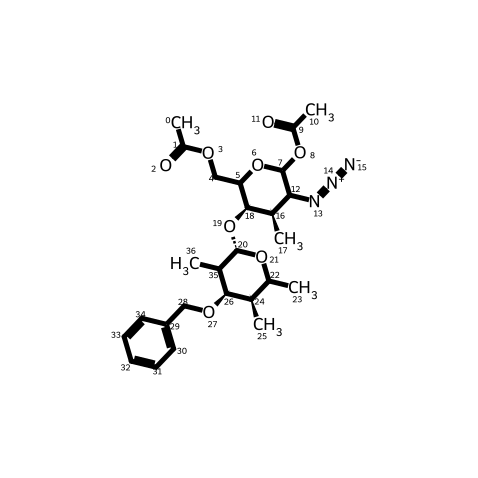 CC(=O)OCC1OC(OC(C)=O)C(N=[N+]=[N-])[C@@H](C)[C@H]1O[C@@H]1OC(C)[C@@H](C)[C@@H](OCc2ccccc2)C1C